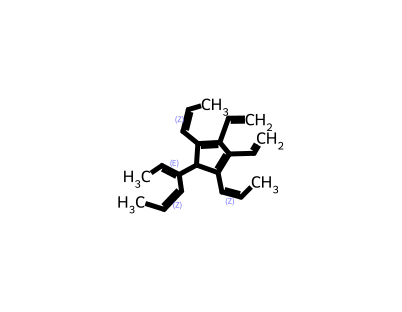 C=CC1=C(/C=C\C)C(C(/C=C\C)=C/C)C(/C=C\C)=C1C=C